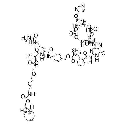 CC(C)[C@H](NC(=O)CCOCCOCCNC(=O)OC[C@@H]1[C@@H]2CCC#CCC[C@@H]21)C(=O)N[C@@H](CCCNC(N)=O)C(=O)Nc1ccc(COC(=O)N(C)Cc2ccccc2C(=O)Nc2nc3c(ncn3[C@@H]3O[C@@H]4CO[P+](=O)O[C@H]5C[C@H](Oc6ccncn6)C[C@@H]5CO[PH](=O)O[C@@H]3[C@@H]4O)c(=O)[nH]2)cc1